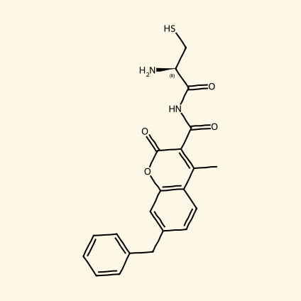 Cc1c(C(=O)NC(=O)[C@@H](N)CS)c(=O)oc2cc(Cc3ccccc3)ccc12